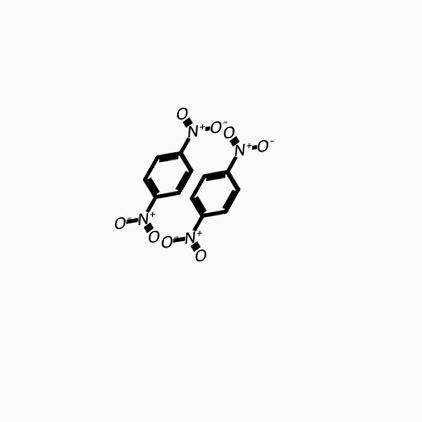 O=[N+]([O-])c1ccc([N+](=O)[O-])cc1.O=[N+]([O-])c1ccc([N+](=O)[O-])cc1